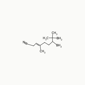 BC(CC/C(C)=C/CC#N)C(B)(C)C